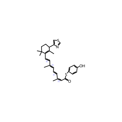 CC1=C(/C=C/C(C)=C/C=C/C(C)=C\C(=O)Sc2ccc(O)cc2)C(C)(C)CCC1c1cscn1